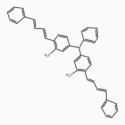 Cc1cc(N(c2ccccc2)c2ccc(C=CC=Cc3ccccc3)c(C)c2)ccc1C=CC=Cc1ccccc1